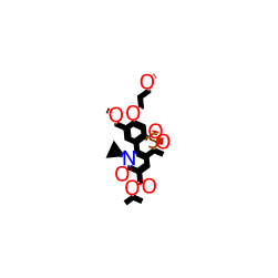 COCCCOc1cc2c(cc1COC)-c1c(cc(C(=O)OC(C)C)c(=O)n1C1CC1)C(C)S2(=O)=O